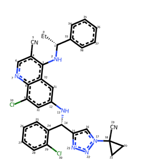 CC[C@@H](Nc1c(C#N)cnc2c(Cl)cc(N[C@H](c3cn(C4(C#N)CC4)nn3)c3ccccc3Cl)cc12)c1ccccc1